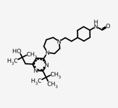 CC(C)(O)Cc1cc(N2CCCN(CCC3CCC(NC=O)CC3)CC2)nc(C(C)(C)C)n1